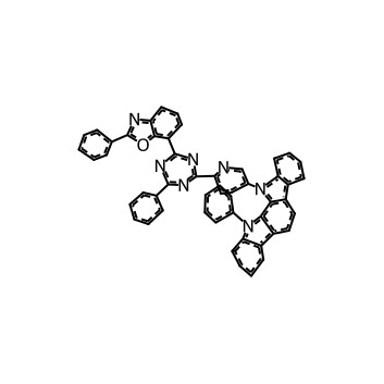 c1ccc(-c2nc(-c3ccc(-n4c5ccccc5c5ccc6c7ccccc7n(-c7ccccc7)c6c54)cn3)nc(-c3cccc4nc(-c5ccccc5)oc34)n2)cc1